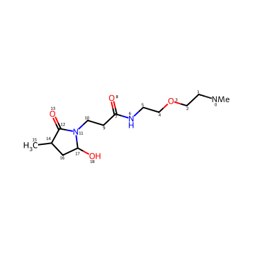 CNCCOCCNC(=O)CCN1C(=O)C(C)CC1O